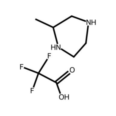 CC1CNCCN1.O=C(O)C(F)(F)F